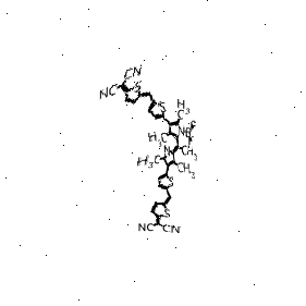 CC1=N/C(=C(/C)c2c(C)c(-c3ccc(/C=c4\ccc(=C(C#N)C#N)s4)s3)c(C)n2B(F)F)C(C)=C1c1ccc(/C=c2\ccc(=C(C#N)C#N)s2)s1